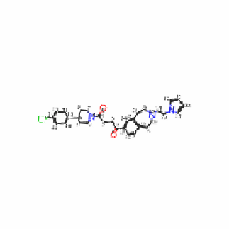 O=C(CCC(=O)N1CCC(c2ccc(Cl)cc2)CC1)c1ccc2c(c1)CCN(CCn1cccc1)CC2